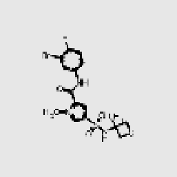 Cn1cc(S(=O)(=O)NC2(C)COC2)cc1C(=O)Nc1ccc(F)c(Br)c1